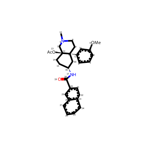 COc1cccc([C@@]23CCN(C)C[C@@]2(OC(C)=O)CC[C@@H](NC(=O)c2ccc4ccccc4c2)C3)c1